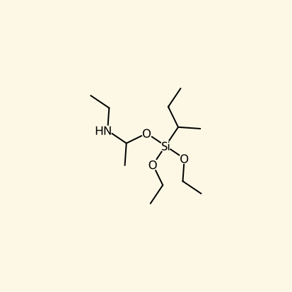 CCNC(C)O[Si](OCC)(OCC)C(C)CC